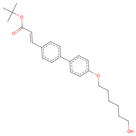 CC(C)(C)OC(=O)/C=C/c1ccc(-c2ccc(OCCCCCCO)cc2)cc1